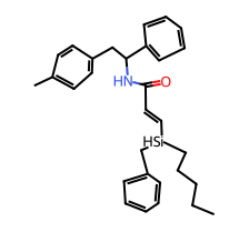 CCCCC[SiH](C=CC(=O)NC(Cc1ccc(C)cc1)c1ccccc1)Cc1ccccc1